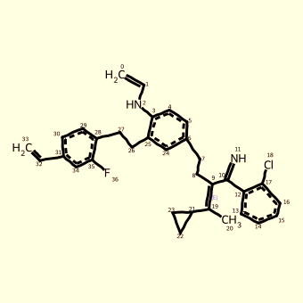 C=CNc1ccc(CC/C(C(=N)c2ccccc2Cl)=C(/C)C2CC2)cc1CCc1ccc(C=C)cc1F